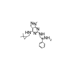 Cn1ncc2c(NCC3CC3(C)C)nc(NC[C@H](N)c3ccccc3)nc21